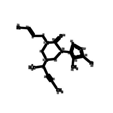 CC#CC(C)N1CN(CC=CCC)C(=O)N(c2snc(CC)c2C)C1